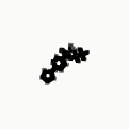 CC(C)(C)[Si](C)(C)N=S(N)(=O)c1ccc(C2CCCC2)nc1